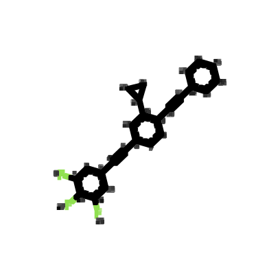 Fc1cc(C#Cc2ccc(C#Cc3ccccc3)c(C3CC3)c2)cc(F)c1F